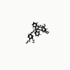 CCOc1ccc(CCOC(c2ccccc2)(c2ccccc2)C(Oc2nc(C)cc(OC)n2)C(=O)O)cc1OC